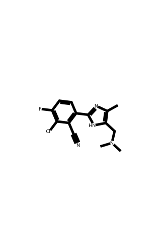 Cc1nc(-c2ccc(F)c(Cl)c2C#N)[nH]c1CN(C)C